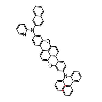 c1ccc(-c2ccccc2N(c2ccccc2)c2ccc3c(c2)Oc2ccc4c5c(ccc-3c25)Oc2cc(N(c3ccc5ccccc5c3)c3ccccn3)ccc2-4)cc1